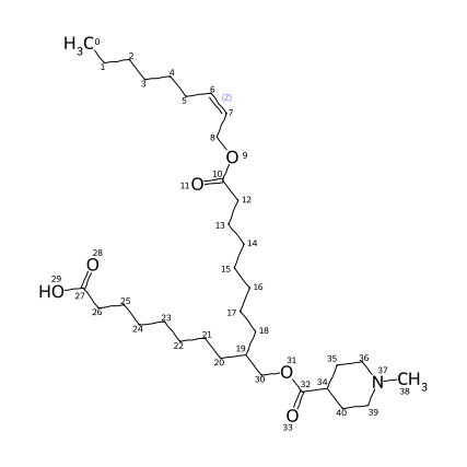 CCCCCC/C=C\COC(=O)CCCCCCCC(CCCCCCCC(=O)O)COC(=O)C1CCN(C)CC1